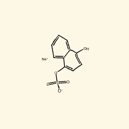 O=S(=O)([O-])Oc1ccc(O)c2ccccc12.[Na+]